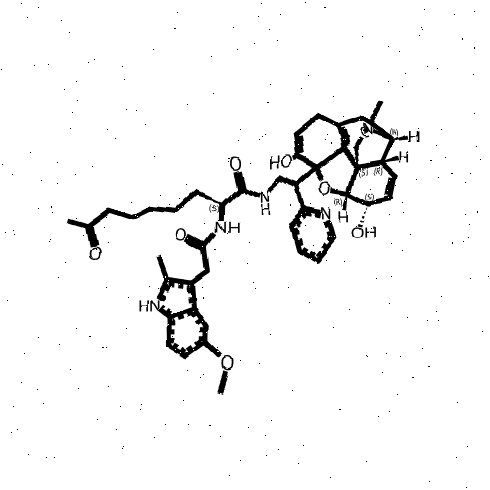 COc1ccc2[nH]c(C)c(CC(=O)N[C@@H](CCCCCC(C)=O)C(=O)NCC(c3ccccn3)C34O[C@H]5[C@@H](O)C=C[C@H]6[C@H]7CC(=C3[C@]65CCN7C)CC=C4O)c2c1